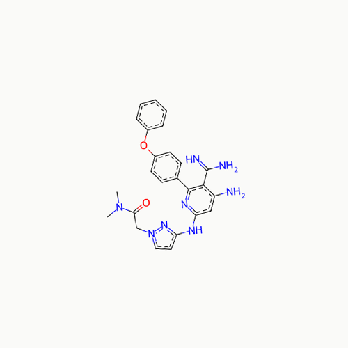 CN(C)C(=O)Cn1ccc(Nc2cc(N)c(C(=N)N)c(-c3ccc(Oc4ccccc4)cc3)n2)n1